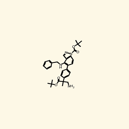 CC(C)(C)OC(=O)n1ncc2c(NCc3ccccc3)c(-c3ccc(C(C)(CN)C(=O)OC(C)(C)C)cc3)ccc21